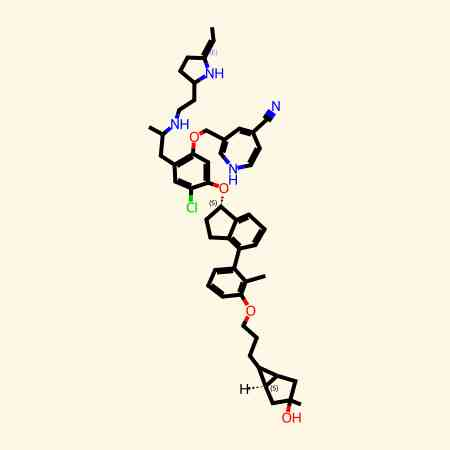 C/C=C1\CCC(CCNC(C)Cc2cc(Cl)c(O[C@H]3CCc4c(-c5cccc(OCCCC6C7CC(C)(O)C[C@@H]67)c5C)cccc43)cc2OCC2=CNC=CC(C#N)=C2)N1